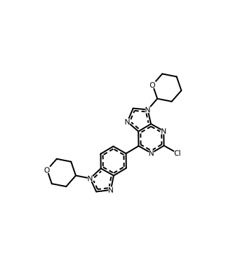 Clc1nc(-c2ccc3c(c2)ncn3C2CCOCC2)c2ncn(C3CCCCO3)c2n1